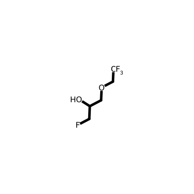 OC(CF)COCC(F)(F)F